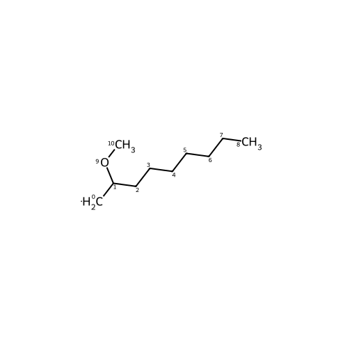 [CH2]C(CCCCCCC)OC